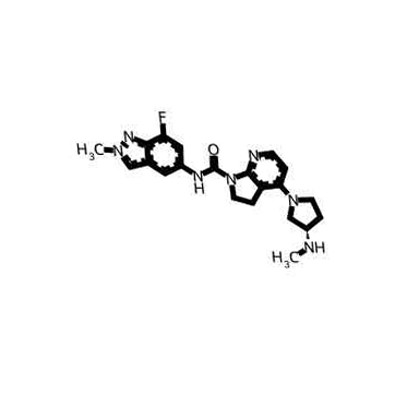 CN[C@H]1CCN(c2ccnc3c2CCN3C(=O)Nc2cc(F)c3nn(C)cc3c2)C1